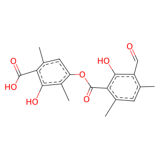 Cc1cc(C)c(C(=O)Oc2cc(C)c(C(=O)O)c(O)c2C)c(O)c1C=O